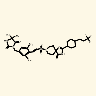 Cc1cc(CN2C(=O)NC(C)(C)C2=O)cc(C)c1/C=C/S(=O)(=O)N1CCC2(CC1)N=C(C1CCC(CCC(F)(F)F)CC1)NC2=O